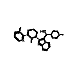 Cc1cccnc1[C@@H]1CCC[C@H](c2nc3ccccn3c2[C@H](O)C2CCN(C)CC2)N1C